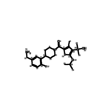 Cc1c(C(=O)N2CCC(c3cc(CN)ccc3F)CC2)sc(OC(C)C)c1[Si](C)(C)O